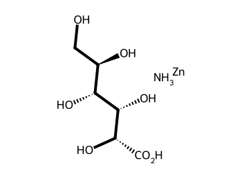 N.O=C(O)[C@H](O)[C@@H](O)[C@H](O)[C@H](O)CO.[Zn]